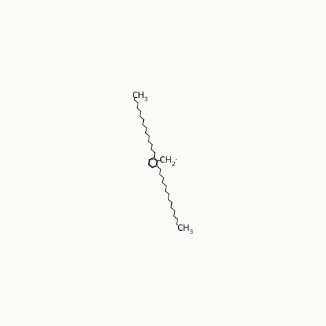 [CH2]c1c(CCCCCCCCCCCCCCC)cccc1CCCCCCCCCCCCCCC